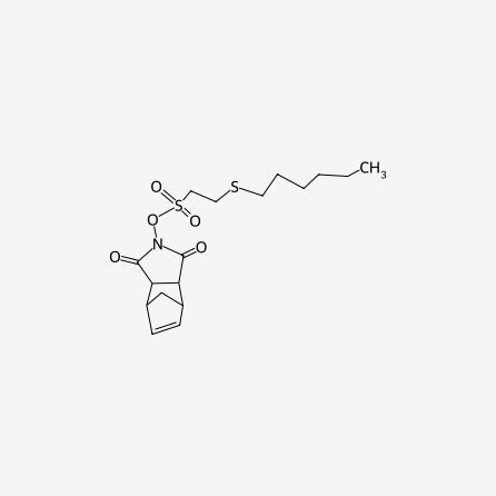 CCCCCCSCCS(=O)(=O)ON1C(=O)C2C3C=CC(C3)C2C1=O